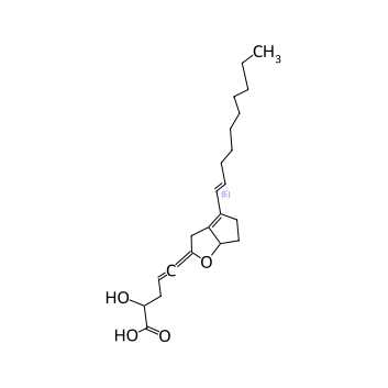 CCCCCCCC/C=C/C1=C2CC(=C=CCC(O)C(=O)O)OC2CC1